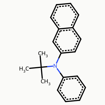 CC(C)(C)N(c1ccccc1)c1ccc2ccccc2c1